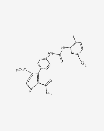 CCOC(=O)c1c[nH]c(C(N)=O)c1-c1ccc(NC(=O)Nc2cc(C(F)(F)F)ccc2Cl)cc1